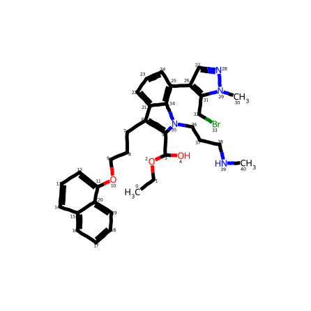 CCOC(O)c1c(CCCOc2cccc3ccccc23)c2cccc(-c3cnn(C)c3CBr)c2n1CCCNC